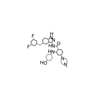 CN1CCN(c2ccc(C(=O)Nc3n[nH]c4ccc(Cc5cc(F)cc(F)c5)cc34)c(NC3CCC(O)CC3)c2)CC1